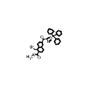 COC(=O)c1ccc2cc(C(=O)c3cn(C(c4ccccc4)(c4ccccc4)c4ccccc4)cn3)ccc2c1CBr